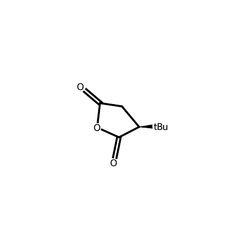 CC(C)(C)[C@@H]1CC(=O)OC1=O